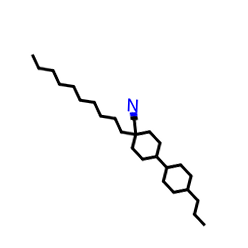 CCCCCCCCCCC1(C#N)CCC(C2CCC(CCC)CC2)CC1